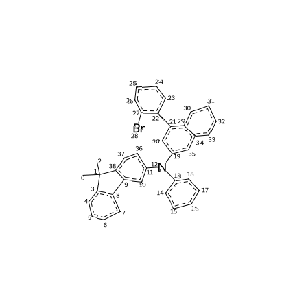 CC1(C)c2ccccc2-c2cc(N(c3ccccc3)c3cc(-c4ccccc4Br)c4ccccc4c3)ccc21